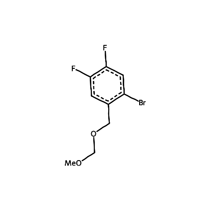 COCOCc1cc(F)c(F)cc1Br